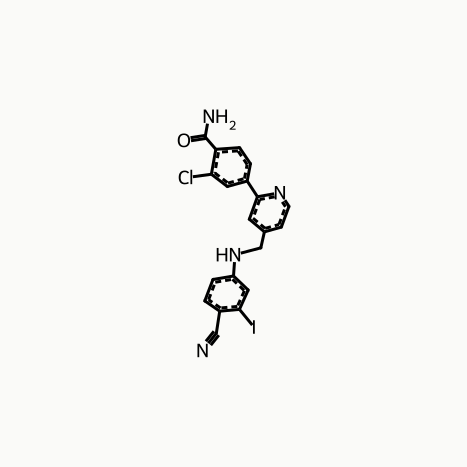 N#Cc1ccc(NCc2ccnc(-c3ccc(C(N)=O)c(Cl)c3)c2)cc1I